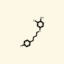 Oc1ccc(OCCCCc2ccc(F)cc2)cc1Cl